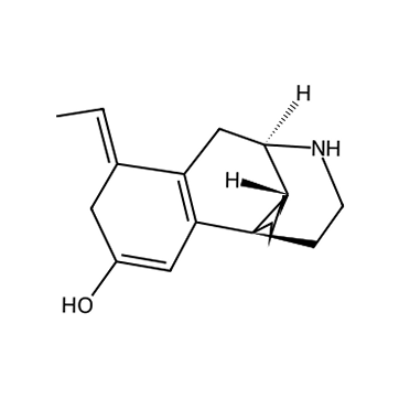 CC=C1CC(O)=CC2=C1C[C@H]1NCC[C@@]23CCCC[C@@H]13